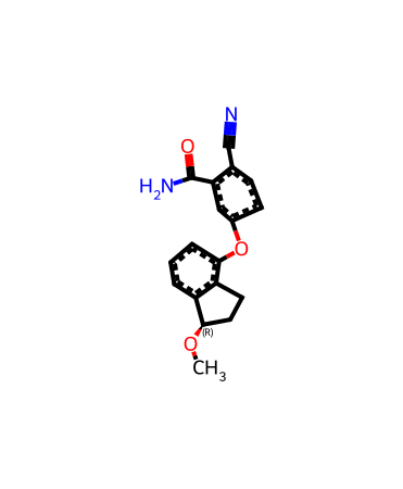 CO[C@@H]1CCc2c(Oc3ccc(C#N)c(C(N)=O)c3)cccc21